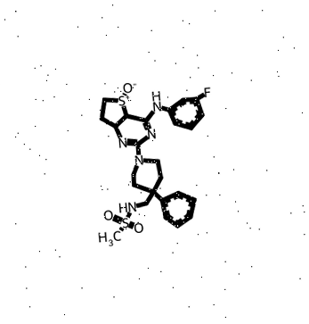 CS(=O)(=O)NCC1(c2ccccc2)CCN(C2=NC3CC[S+]([O-])C3C(Nc3cccc(F)c3)=N2)CC1